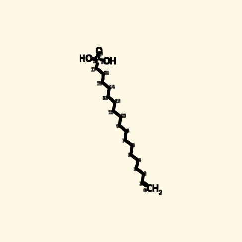 C=CCCCCCCCCCCCCCCCCP(=O)(O)O